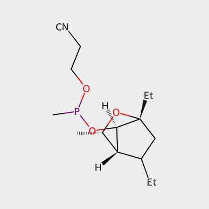 [C-]#[N+]CCOP(C)O[C@@H]1[C@@H]2C(CC)C[C@@]1(CC)O[C@H]2C